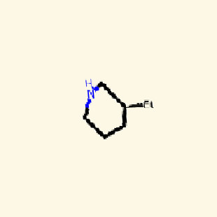 [CH2]C[C@H]1CCCNC1